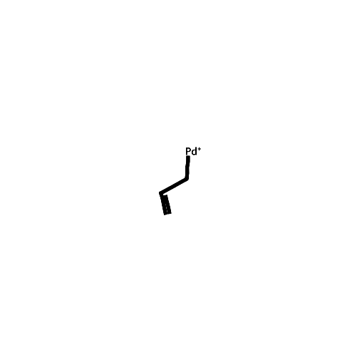 C=C[CH2][Pd+]